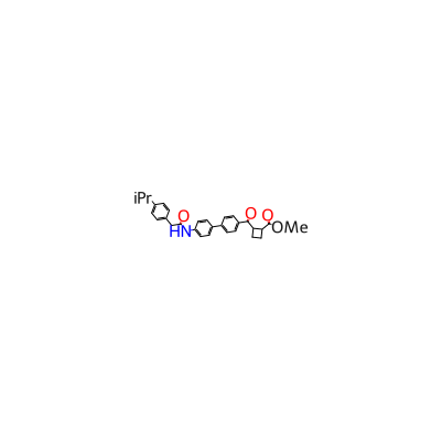 COC(=O)C1CCC1C(=O)c1ccc(-c2ccc(NC(=O)Cc3ccc(C(C)C)cc3)cc2)cc1